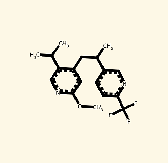 COc1cc(CC(C)c2ccc(C(F)(F)F)nc2)c(C(C)C)cn1